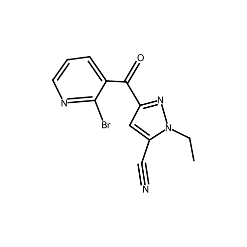 CCn1nc(C(=O)c2cccnc2Br)cc1C#N